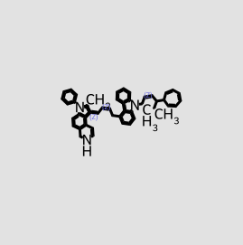 C=c1/c(=C\C=C/Cc2cccc3c2c2ccccc2n3C(C)/C=C\C(CC)C2C=CC=CC=C2)c2c3c(ccc2n1-c1ccccc1)CNC=C3